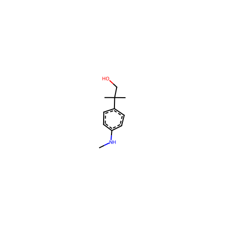 CNc1ccc(C(C)(C)CO)cc1